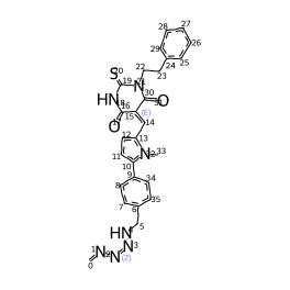 C=N/N=N\NCc1ccc(-c2ccc(/C=C3\C(=O)NC(=S)N(CCc4ccccc4)C3=O)n2C)cc1